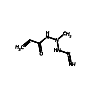 C=CC(=O)NN(C)NN=N